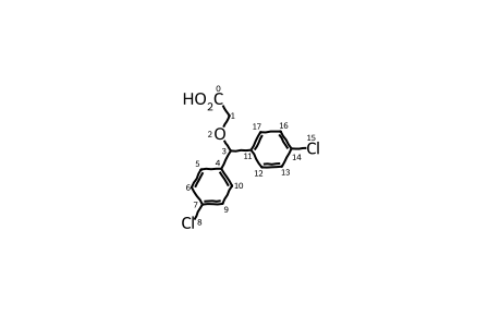 O=C(O)COC(c1ccc(Cl)cc1)c1ccc(Cl)cc1